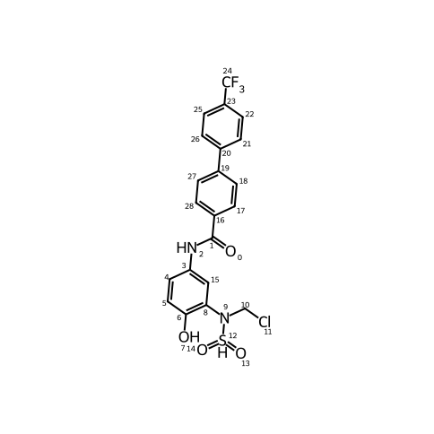 O=C(Nc1ccc(O)c(N(CCl)[SH](=O)=O)c1)c1ccc(-c2ccc(C(F)(F)F)cc2)cc1